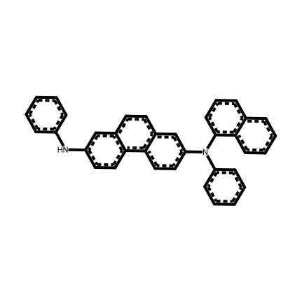 c1ccc(Nc2ccc3c(ccc4cc(N(c5ccccc5)c5cccc6ccccc56)ccc43)c2)cc1